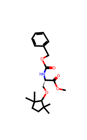 COC(=O)[C@H](COC1C(C)(C)CCC1(C)C)NC(=O)OCc1ccccc1